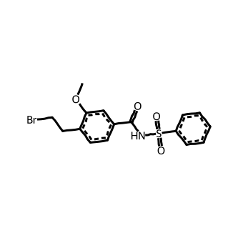 COc1cc(C(=O)NS(=O)(=O)c2ccccc2)ccc1CCBr